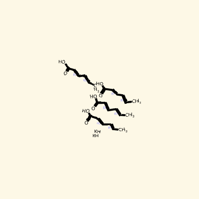 C/C=C/C=C/C(=O)O.C/C=C/C=C/C(=O)O.C/C=C/C=C/C(=O)O.C/C=C/C=C/C(=O)O.[KH].[KH]